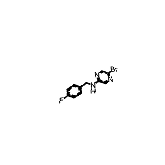 Fc1ccc(CNc2cnc(Br)cn2)cc1